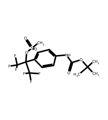 CC(C)(C)OC(=O)Nc1ccc(C(OS(C)(=O)=O)(C(F)(F)F)C(F)(F)F)cc1